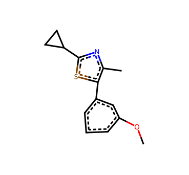 COc1cccc(-c2sc(C3CC3)nc2C)c1